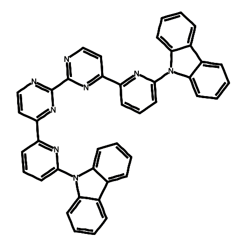 c1cc(-c2ccnc(-c3nccc(-c4cccc(-n5c6ccccc6c6ccccc65)n4)n3)n2)nc(-n2c3ccccc3c3ccccc32)c1